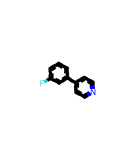 Fc1cccc(-c2ccncc2)c1